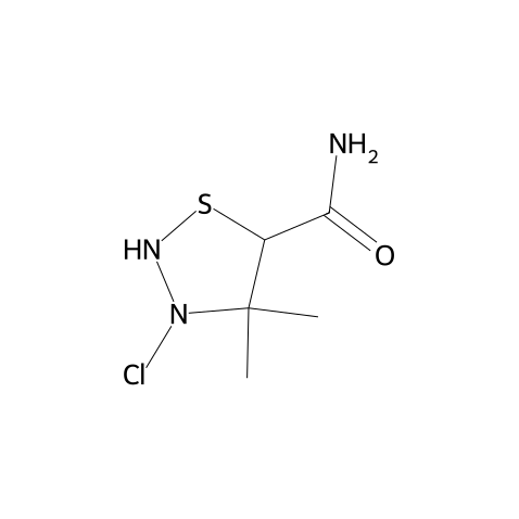 CC1(C)C(C(N)=O)SNN1Cl